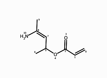 C=CC(=O)OC(C)C=C(C)N